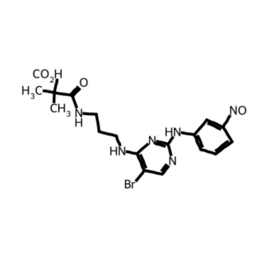 CC(C)(C(=O)O)C(=O)NCCCNc1nc(Nc2cccc(N=O)c2)ncc1Br